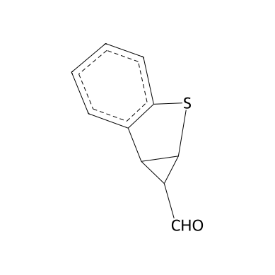 O=CC1C2Sc3ccccc3C12